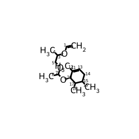 C=COC(C)COC(C)O[C@H]1C(C)=CCC(C)C1C